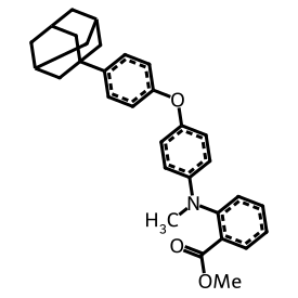 COC(=O)c1ccccc1N(C)c1ccc(Oc2ccc(C34CC5CC(CC(C5)C3)C4)cc2)cc1